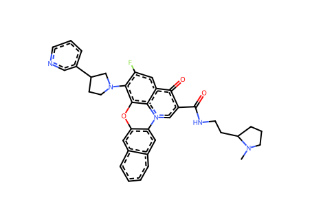 CN1CCCC1CCNC(=O)c1cn2c3c(c(N4CCC(c5cccnc5)C4)c(F)cc3c1=O)Oc1cc3ccccc3cc1-2